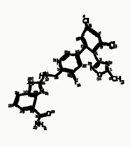 Cc1nc(-c2c(Cl)cc(Cl)cc2-c2cnc(CNC3=Nc4c(cccc4C(N)=O)[N]3)c(F)c2)no1